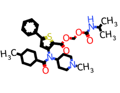 CC1CCC(C(=O)N(c2cc(-c3ccccc3)sc2C(=O)OCOC(=O)NC(C)C)C2CCN(C)CC2)CC1